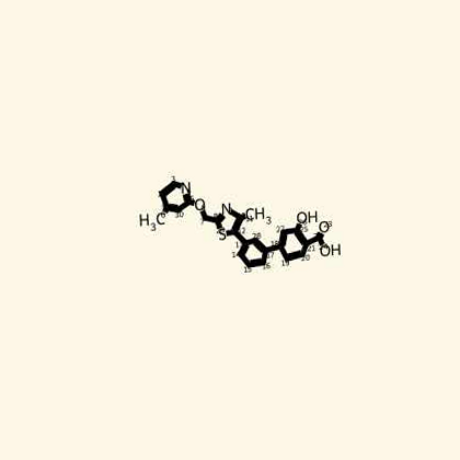 Cc1ccnc(OCc2nc(C)c(-c3cccc(-c4ccc(C(=O)O)c(O)c4)c3)s2)c1